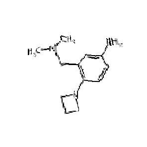 CN(C)Cc1cc(N)ccc1N1CCC1